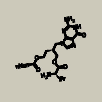 CCCCCCCCCC(=O)OCC[C@@H](COC(=O)[C@@H](N)C(C)C)Cn1cnc2c(=O)[nH]c(N)nc21